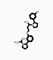 CC(C)N1CCCC1c1cccc(OCCC(C)N2CCCC2c2cccc(Cl)c2)c1